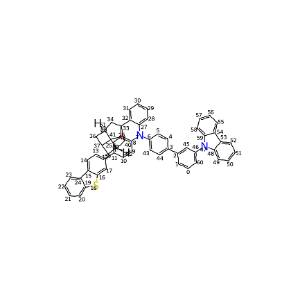 c1cc(-c2ccc(N(c3ccc(-c4ccc5c(c4)sc4ccccc45)cc3)c3ccccc3C34C[C@@H]5CC6C[C@@H](C3)C65C4)cc2)cc(-n2c3ccccc3c3ccccc32)c1